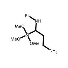 CCNC(CCN)[Si](OC)(OC)OC